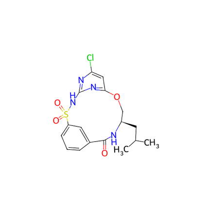 CC(C)C[C@@H]1COc2cc(Cl)nc(n2)NS(=O)(=O)c2cccc(c2)C(=O)N1